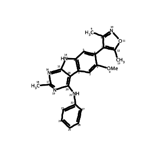 COc1cc2c(cc1-c1c(C)noc1C)[nH]c1nc(C)nc(Nc3ccccc3)c12